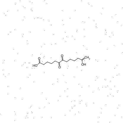 C=C(O)CCCCC(=O)C(=O)CCCCC(=O)O